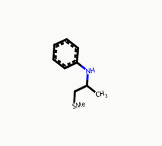 CSCC(C)Nc1ccccc1